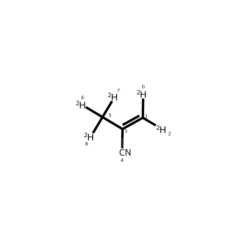 [2H]C([2H])=C(C#N)C([2H])([2H])[2H]